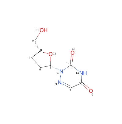 O=c1cnn([C@@H]2CC[C@H](CO)O2)c(=O)[nH]1